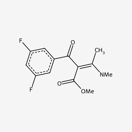 CN/C(C)=C(\C(=O)OC)C(=O)c1cc(F)cc(F)c1